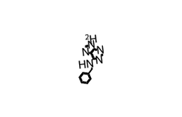 [2H]n1cnc2c(NCc3ccccc3)ncnc21